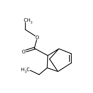 CCOC(=O)C1C2C=CC(C2)C1CC